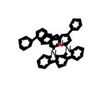 c1ccc(-c2cccc(-c3cccc(-n4c5ccccc5c5ccc6c7ccccc7n(-c7cc(-c8ccccc8)cc(-c8ccccc8)n7)c6c54)c3)c2)cc1